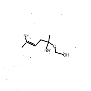 CCCC(C)(C/C=C(/C)N)OCO